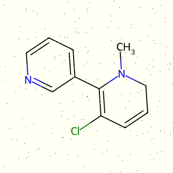 CN1CC=CC(Cl)=C1c1cccnc1